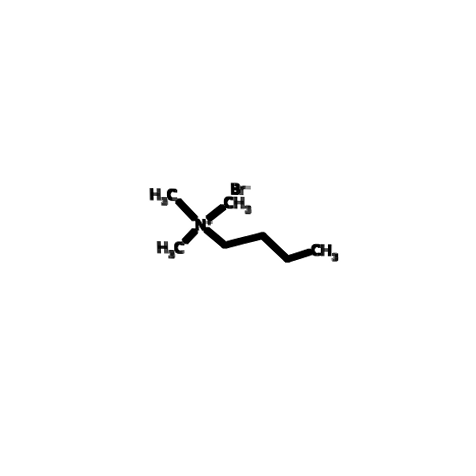 CCCC[N+](C)(C)C.[Br-]